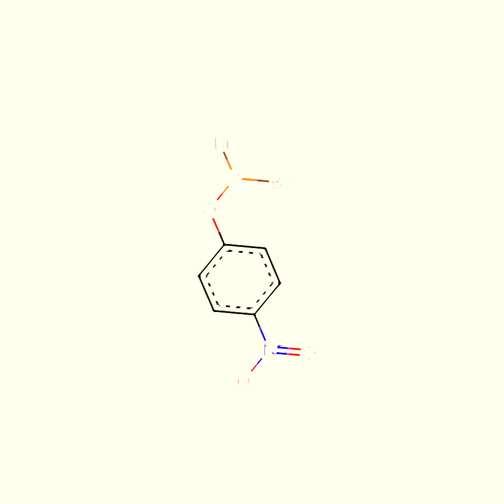 O=[N+]([O-])c1ccc(OP(Br)Br)cc1